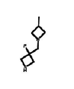 CC1CN(CC2(F)CNC2)C1